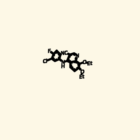 CCOc1ccc2c(Nc3ccc(F)c(Cl)c3)c(C#N)cnc2c1OCC